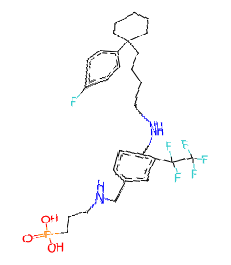 O=P(O)(O)CCCNCc1ccc(NCCCCC2(c3ccc(F)cc3)CCCCC2)c(C(F)(F)C(F)(F)F)c1